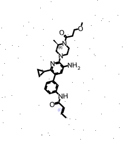 C/C=C/C(=O)Nc1cccc(-c2cc(N)c(N3CCN(C(=O)CCOC)[C@H](C)C3)nc2C2CC2)c1